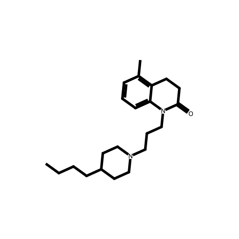 CCCCC1CCN(CCCN2C(=O)CCc3c(C)cccc32)CC1